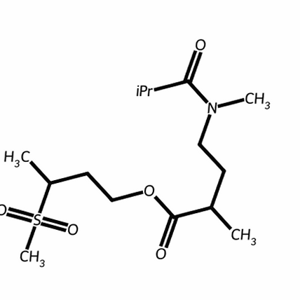 CC(C)C(=O)N(C)CCC(C)C(=O)OCCC(C)S(C)(=O)=O